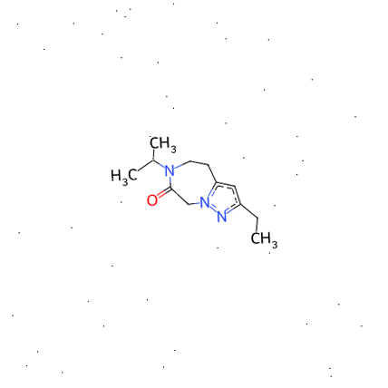 CCc1cc2n(n1)CC(=O)N(C(C)C)CC2